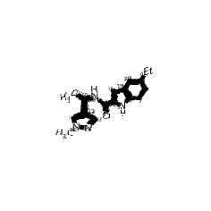 CCc1ccc2[nH]c(C(=O)NC(C)c3cnn(C)c3)cc2c1